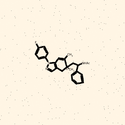 CC(=O)NC(C[C@@]1(C)Cc2cnn(-c3ccc(F)cc3)c2C=C1C)c1ccccc1